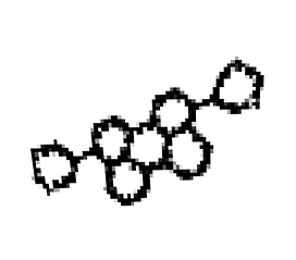 c1cncc(-c2ccc3c4ccc(-c5cccnc5)c5cccc(c6cccc2c63)c54)c1